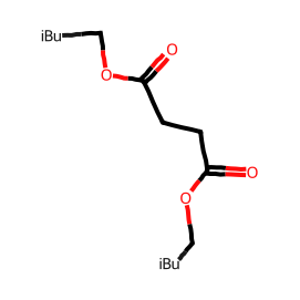 CCC(C)COC(=O)CCC(=O)OCC(C)CC